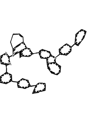 C1=Cc2c(n(-c3nccc(-c4cccc(-c5ccc(-c6ccccc6)cc5)c4)n3)c3ccc(-c4ccc5c(c4)c4ccccc4n5-c4ccc(-c5ccccc5)cc4)cc23)CC1